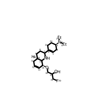 CCN(CC)[C@H]1CC=C(C2CC[C@@H]3CC=C[C@H](OCC(O)CF)C3N2)CC1